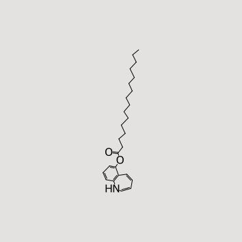 CCCCCCCCCCCCCCCC(=O)Oc1cccc2c1C=CC=CN2